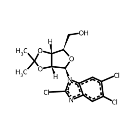 CC1(C)O[C@@H]2[C@H](O1)[C@@H](CO)O[C@H]2n1c(Cl)nc2cc(Cl)c(Cl)cc21